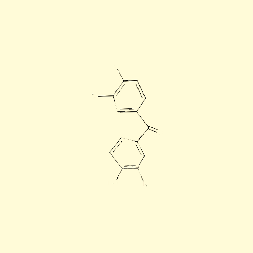 O=C(c1ccc(O)c(Br)c1)c1ccc(O)c(Br)c1